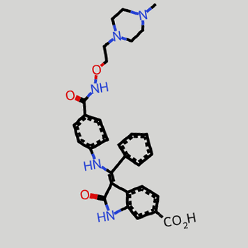 CN1CCN(CCONC(=O)c2ccc(N/C(=C3\C(=O)Nc4cc(C(=O)O)ccc43)c3ccccc3)cc2)CC1